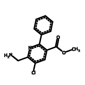 COC(=O)c1cc(Cl)c(CN)nc1-c1ccccc1